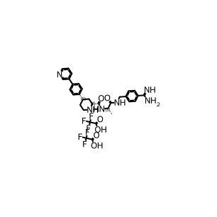 C[C@H](NC(=O)[C@H]1C[C@@H](c2ccc(-c3cccnc3)cc2)CCN1)C(=O)NCc1ccc(C(=N)N)cc1.O=C(O)C(F)(F)F.O=C(O)C(F)(F)F